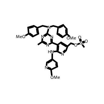 COc1ccc(CN(Cc2ccc(OC)cc2)c2nc(C)nc(-c3cc(COS(C)(=O)=O)cnc3Nc3ccc(OC)nc3)n2)cc1